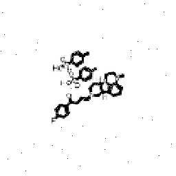 CN1CCN2c3c(cccc31)[C@@H]1CN(CCCC(=O)c3ccc(F)cc3)CC[C@@H]12.Cc1ccc(S(=O)(=O)O)cc1.Cc1ccc(S(=O)(=O)O)cc1